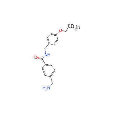 NCc1ccc(C(=O)NCc2ccc(OCC(=O)O)cc2)cc1